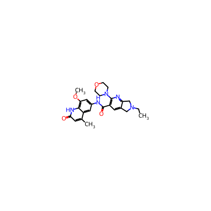 CCN1Cc2cc(C(=O)Nc3cc(OC)c4[nH]c(=O)cc(C)c4c3)c(N3CCOCC3)nc2C1